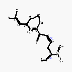 C=C(/C=C\C/C(=C\C)[N+](=O)[O-])C1=NC(C=C(C)C)CCC1